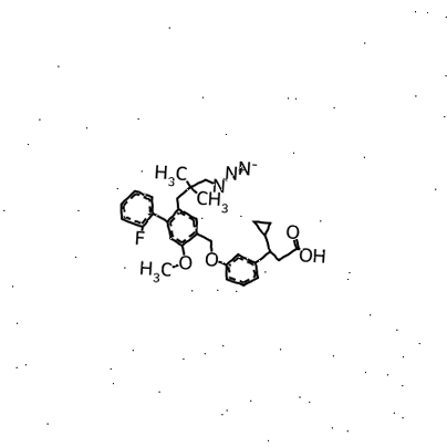 COc1cc(-c2ccccc2F)c(CC(C)(C)CN=[N+]=[N-])cc1COc1cccc(C(CC(=O)O)C2CC2)c1